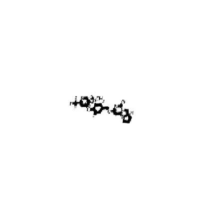 CP(C)(=O)c1cc(COc2cc3n(c(=O)n2)C[C@H]2CCCN32)cc(F)c1Oc1ccnc(C(F)(F)F)c1